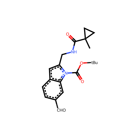 CC(C)(C)OC(=O)n1c(CNC(=O)C2(C)CC2)cc2ccc(C=O)cc21